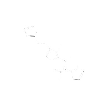 Cc1c(SCc2ccco2)csc1C(=O)N(C(=O)O)c1ccco1